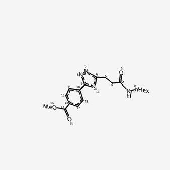 CCCCCCNC(=O)CCc1nnc(-c2ccc(C(=O)OC)cc2)s1